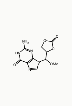 COC(C1COC(=O)O1)n1cnc2c(=O)[nH]c(N)nc21